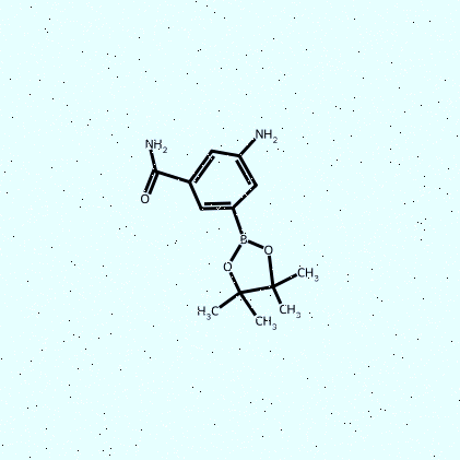 CC1(C)OB(c2cc(N)cc(C(N)=O)c2)OC1(C)C